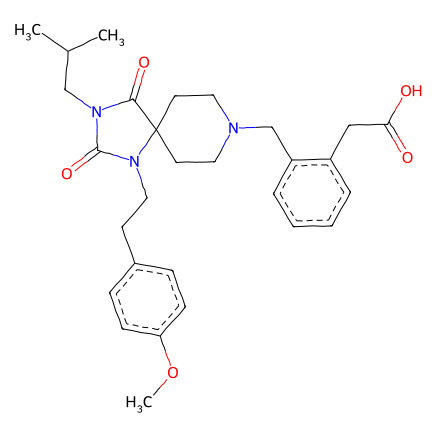 COc1ccc(CCN2C(=O)N(CC(C)C)C(=O)C23CCN(Cc2ccccc2CC(=O)O)CC3)cc1